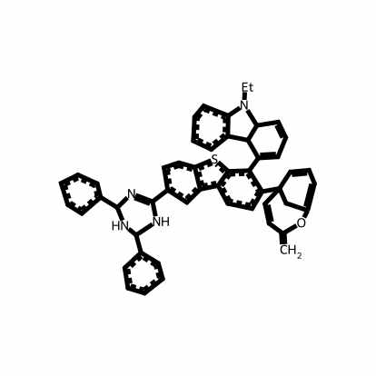 C=C1C=CC2(c3ccc4c(sc5ccc(C6=NC(c7ccccc7)NC(c7ccccc7)N6)cc54)c3C3=CC=CC4C3c3ccccc3N4CC)C=CC=C(C2)O1